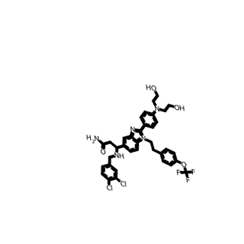 NC(=O)CC(NCc1ccc(Cl)c(Cl)c1)c1ccc2c(c1)nc(-c1ccc(N(CCO)CCO)cc1)n2CCc1ccc(OC(F)(F)F)cc1